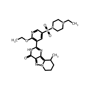 CCOc1ncc(S(=O)(=O)N2CCN(CC)CC2)cc1-c1nc2c3n(nc2c(=O)[nH]1)CCCC3C